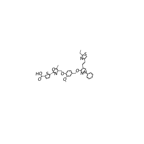 CCc1nc(C=Cc2cn(-c3ccccc3)nc2OCc2ccc(OCc3nc(-c4ccc(C(=O)O)s4)oc3C)c(OC)c2)cs1